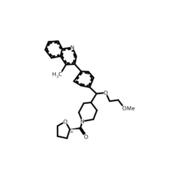 COCCOC(c1ccc(-c2cnc3ccccc3c2C)cc1)C1CCN(C(=O)[C@H]2CCCO2)CC1